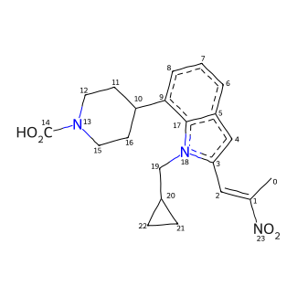 C/C(=C\c1cc2cccc(C3CCN(C(=O)O)CC3)c2n1CC1CC1)[N+](=O)[O-]